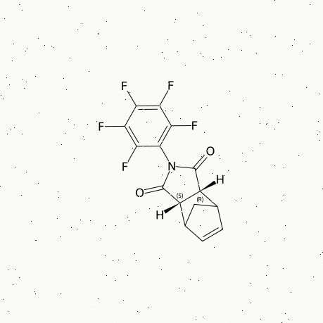 O=C1[C@@H]2C3C=CC(C3)[C@@H]2C(=O)N1c1c(F)c(F)c(F)c(F)c1F